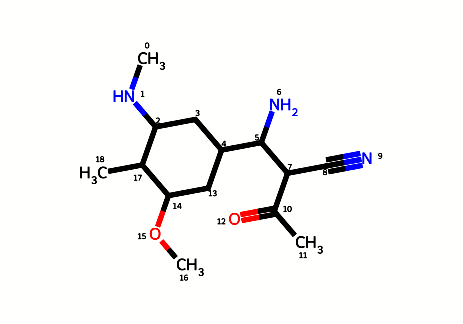 CNC1CC(C(N)C(C#N)C(C)=O)CC(OC)C1C